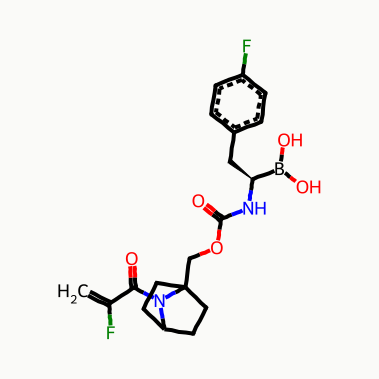 C=C(F)C(=O)N1C2CCC1(COC(=O)N[C@@H](Cc1ccc(F)cc1)B(O)O)CC2